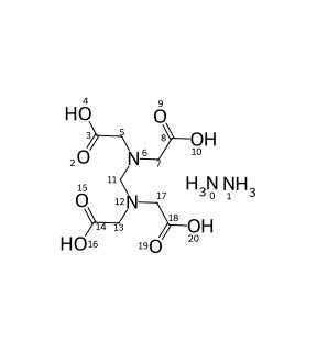 N.N.O=C(O)CN(CC(=O)O)CN(CC(=O)O)CC(=O)O